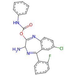 NC1N=C(c2ccccc2F)c2cc(Cl)ccc2N=C1OC(=O)Nc1ccccc1